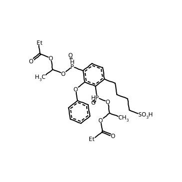 CCC(=O)OC(C)O[PH](=O)c1ccc(CCCCS(=O)(=O)O)c([PH](=O)OC(C)OC(=O)CC)c1Oc1ccccc1